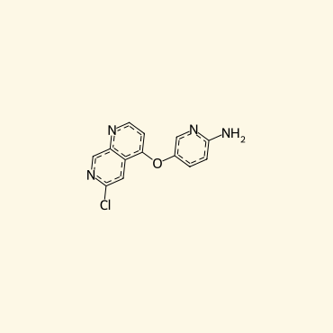 Nc1ccc(Oc2ccnc3cnc(Cl)cc23)cn1